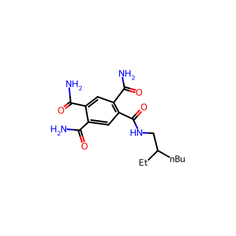 CCCCC(CC)CNC(=O)c1cc(C(N)=O)c(C(N)=O)cc1C(N)=O